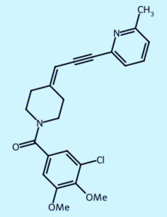 COc1cc(C(=O)N2CCC(=CC#Cc3cccc(C)n3)CC2)cc(Cl)c1OC